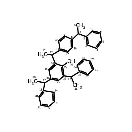 CC(c1ccccc1)c1ccc(C(C)c2cc(C(C)c3ccccc3)cc(C(C)c3ccccc3)c2O)cc1